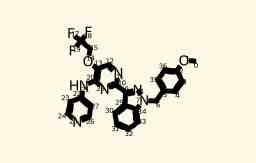 COc1ccc(Cn2nc(-c3ncc(OCC(F)(F)F)c(Nc4ccncc4)n3)c3ccccc32)cc1